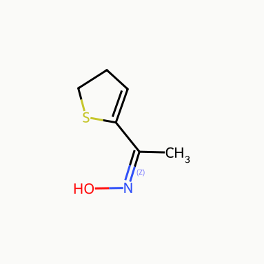 C/C(=N/O)C1=CCCS1